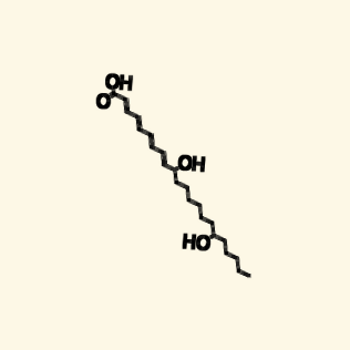 CCCCCC(O)CCCCCCC(O)C=CC=CC=CC=CC(=O)O